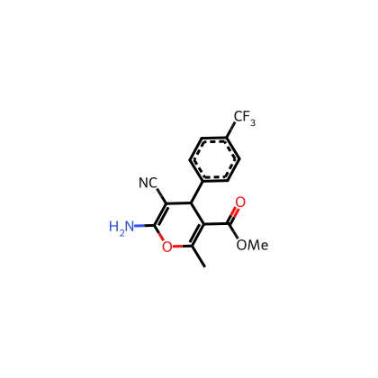 COC(=O)C1=C(C)OC(N)=C(C#N)C1c1ccc(C(F)(F)F)cc1